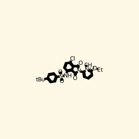 CCOc1cccc(N2C(=O)c3c(Cl)ccc(NS(=O)(=O)c4ccc(C(C)(C)C)cc4)c3C2=O)[n+]1C